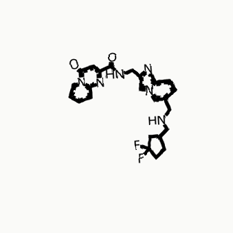 O=C(NCc1cn2cc(CNCC3CCC(F)(F)C3)ccc2n1)c1cc(=O)n2ccccc2n1